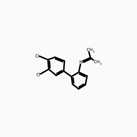 CC(C)=Nc1ccccc1-c1ccc(Cl)c(Cl)c1